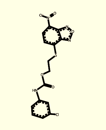 O=C(Nc1cccc(Cl)c1)OCCSc1ccc([N+](=O)[O-])c2nonc12